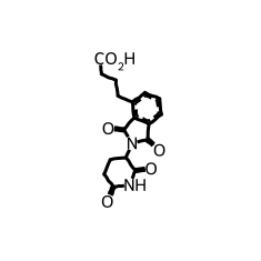 O=C(O)CCCc1cccc2c1C(=O)N(C1CCC(=O)NC1=O)C2=O